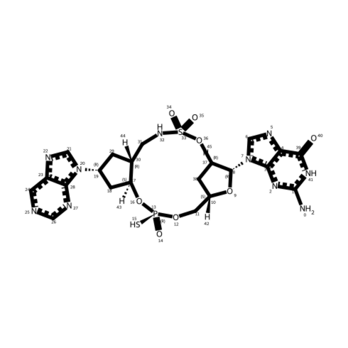 Nc1nc2c(ncn2[C@@H]2O[C@@H]3CO[P@@](=O)(S)O[C@H]4C[C@H](n5cnc6cncnc65)C[C@@H]4CNS(=O)(=O)O[C@@H]2C3)c(=O)[nH]1